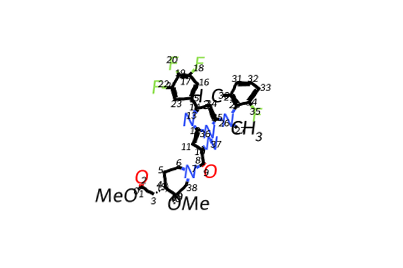 COC(=O)C[C@@H]1CCN(C(=O)c2cc3nc(-c4cc(F)c(F)c(F)c4)cc(N(C)c4c(C)cccc4F)n3n2)C[C@@H]1OC